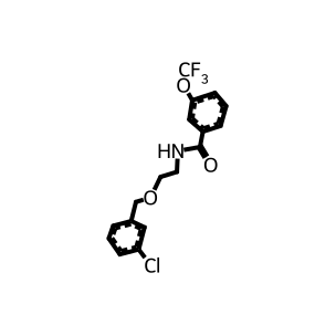 O=C(NCCOCc1cccc(Cl)c1)c1cccc(OC(F)(F)F)c1